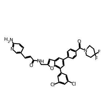 Nc1ccc(C=CC(=O)NCc2cc3cc(-c4ccc(C(=O)N5CCC(F)(F)CC5)cc4)cc(-c4cc(Cl)cc(Cl)c4)c3o2)cn1